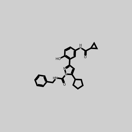 O=C(Nc1ccc(O)c(-c2cc(C3CCCC3)n(C(=O)NCc3ccccc3)n2)c1)C1CC1